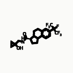 O=C(NCC1(O)CC1)[C@@H]1CCC2c3ccc(C(F)(C(F)(F)F)C(F)(F)F)cc3CCC21